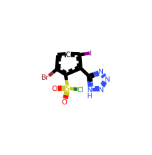 O=S(=O)(Cl)c1c(Br)ccc(I)c1-c1nnn[nH]1